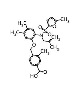 C=C(C)CN(c1cc(C)c(C)cc1OCc1ccc(C(=O)O)cc1C)S(=O)(=O)c1ccc(C)o1